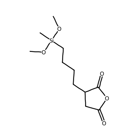 CO[Si](C)(CCCCC1CC(=O)OC1=O)OC